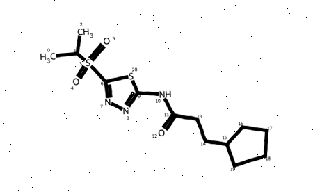 CC(C)S(=O)(=O)c1nnc(NC(=O)CCC2CCCC2)s1